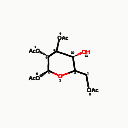 CC(=O)OCC1O[C@@H](OC(C)=O)[C@H](OC(C)=O)C(OC(C)=O)[C@@H]1O